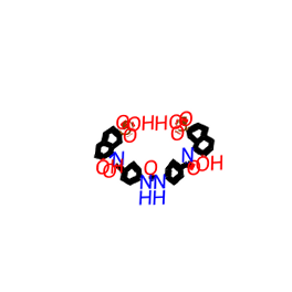 O=C(Nc1ccc(C(=O)N=C2C(O)=CCC3=CC=C(S(=O)(=O)O)CC32)cc1)Nc1ccc(C(=O)N=C2C(O)=CCC3=CC=C(S(=O)(=O)O)CC32)cc1